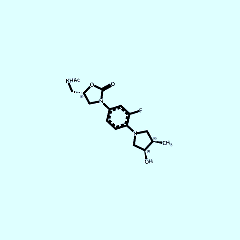 CC(=O)NC[C@H]1CN(c2ccc(N3C[C@@H](C)[C@@H](O)C3)c(F)c2)C(=O)O1